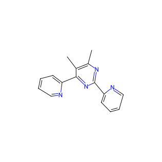 Cc1nc(-c2ccccn2)nc(-c2ccccn2)c1C